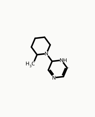 CC1CCCCN1C1C=NC=[C]N1